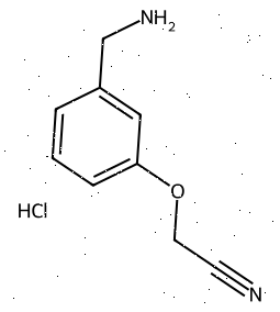 Cl.N#CCOc1cccc(CN)c1